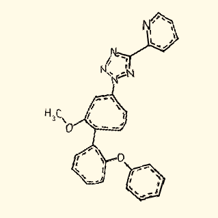 COc1cc(-n2nnc(-c3ccccn3)n2)ccc1-c1ccccc1Oc1ccccc1